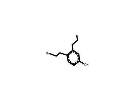 CCCc1cc(O)ccc1CCBr